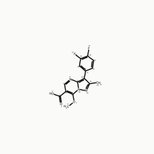 COc1c(C(=O)O)cnc2c(-c3ccc(F)c(F)c3)c(C)nn12